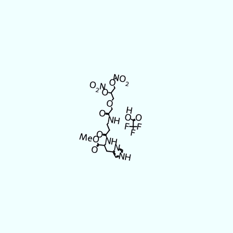 COC(=O)C(Cc1c[nH]cn1)NC(=O)CCNC(=O)COCC(CO[N+](=O)[O-])O[N+](=O)[O-].O=C(O)C(F)(F)F